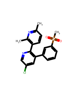 Cc1ccc(-c2ncc(Cl)cc2-c2cccc(S(C)(=O)=O)c2)c(C)n1